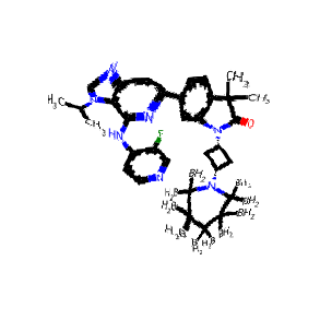 BC1(B)N([C@H]2C[C@@H](N3C(=O)C(C)(C)c4ccc(-c5cc6ncn(C(C)C)c6c(Nc6ccncc6F)n5)cc43)C2)C(B)(B)C(B)(B)C(B)(B)C1(B)B